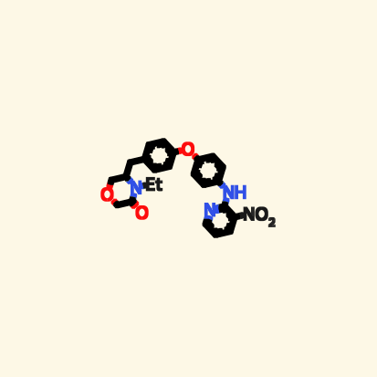 CCN1C(=O)COCC1Cc1ccc(Oc2ccc(Nc3ncccc3[N+](=O)[O-])cc2)cc1